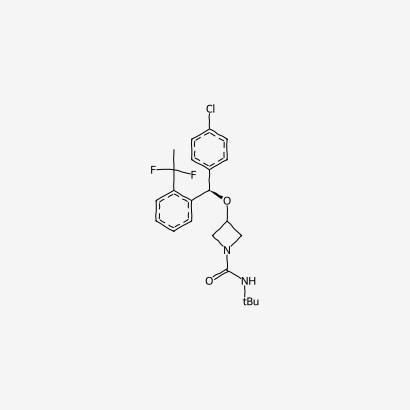 CC(C)(C)NC(=O)N1CC(O[C@H](c2ccc(Cl)cc2)c2ccccc2C(C)(F)F)C1